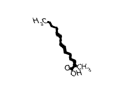 CCCCCCCCCCCC=C(C)C(=O)O